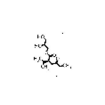 CCC(=O)CC(C(=O)OCC(O)CO)=C(C)C